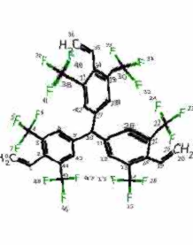 C=Cc1c(C(F)(F)F)cc(C(c2cc(C(F)(F)F)c(C=C)c(C(F)(F)F)c2)c2cc(C(F)(F)F)c(C=C)c(C(F)(F)F)c2)cc1C(F)(F)F